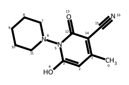 Cc1cc(O)n(N2CCCCC2)c(=O)c1C#N